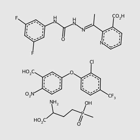 C/C(=N\NC(=O)Nc1cc(F)cc(F)c1)c1ncccc1C(=O)O.CP(=O)(O)CCC(N)C(=O)O.O=C(O)c1cc(Oc2ccc(C(F)(F)F)cc2Cl)ccc1[N+](=O)[O-]